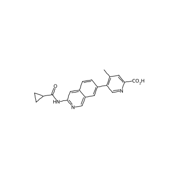 Cc1cc(C(=O)O)ncc1-c1ccc2cc(NC(=O)C3CC3)ncc2c1